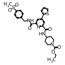 CCOC(=O)N1CCC(NC(=O)c2cc(-c3cccs3)cc(C(=O)NCc3ccc(S(C)(=O)=O)cc3)n2)CC1